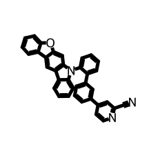 N#Cc1cc(-c2cccc(-c3ccccc3-n3c4ccccc4c4cc5c(cc43)oc3ccccc35)c2)ccn1